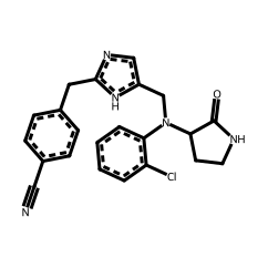 N#Cc1ccc(Cc2ncc(CN(c3ccccc3Cl)C3CCNC3=O)[nH]2)cc1